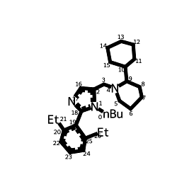 CCCCn1c(CN2CCCCC2C2CCCCC2)cnc1-c1c(CC)cccc1CC